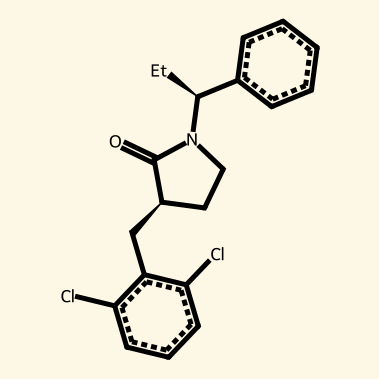 CC[C@@H](c1ccccc1)N1CC[C@@H](Cc2c(Cl)cccc2Cl)C1=O